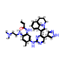 C=CC(=O)Nc1cc(Nc2ncc(-c3cn[nH]c3)c(-c3cn4c5c(cccc35)CCC4)n2)c(C)cc1N(C)CCN(C)C